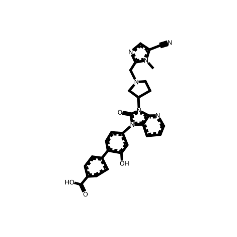 Cn1c(C#N)cnc1CN1CCC(n2c(=O)n(-c3ccc(-c4ccc(C(=O)O)cc4)c(O)c3)c3cccnc32)C1